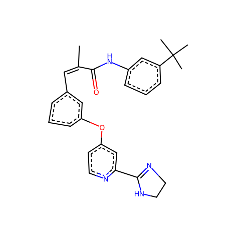 CC(=Cc1cccc(Oc2ccnc(C3=NCCN3)c2)c1)C(=O)Nc1cccc(C(C)(C)C)c1